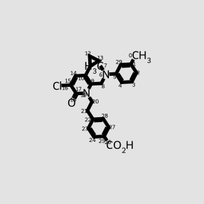 Cc1cccc(N(C)Cc2c(C3CC3)cc(Cl)c(=O)n2CCc2ccc(C(=O)O)cc2)c1